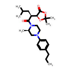 CCCc1ccc(N2CCN(C(=O)[C@@H](CC(C)C)[C@@H]3OC(C)(C)OC3=O)[C@H](C)C2)cc1